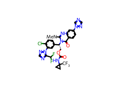 CNC(=N)N(C(=O)c1ccc(-n2cncn2)cc1)[C@H](COC(=O)NC1(C(F)(F)F)CC1)c1ccc(Cl)c(-n2ncnc2C(F)F)c1